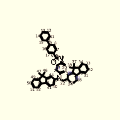 C=C(/C=c1/oc(-c2ccc(-c3ccccc3)cc2)nc1=C)N(CC(C)/C=C1\C(=C/C)c2ccccc2C1(C)C)c1ccc2c(c1)C(C)(C)c1ccccc1-2